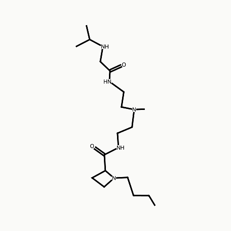 CCCCN1CCC1C(=O)NCCN(C)CCNC(=O)CNC(C)C